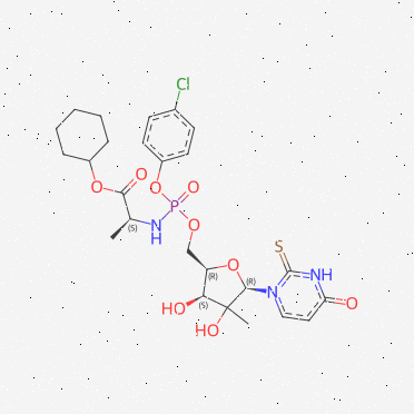 C[C@H](NP(=O)(OC[C@H]1O[C@@H](n2ccc(=O)[nH]c2=S)C(C)(O)[C@H]1O)Oc1ccc(Cl)cc1)C(=O)OC1CCCCC1